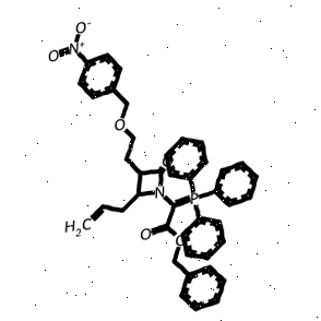 C=CCC1C(CCOCc2ccc([N+](=O)[O-])cc2)C(=O)N1C(C(=O)OCc1ccccc1)=P(c1ccccc1)(c1ccccc1)c1ccccc1